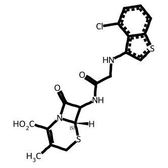 CC1=C(C(=O)O)N2C(=O)C(NC(=O)CNc3csc4cccc(Cl)c34)[C@@H]2SC1